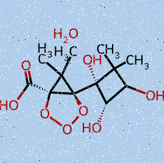 CC1(C)[C@@]2([C@]3(O)[C@@H](O)C(O)C3(C)C)OOO[C@@]12C(=O)O.O